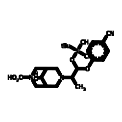 CC(C(Oc1ccc(C#N)cc1)O[Si](C)(C)C(C)(C)C)N1CC2CN(C(=O)O)CC(C1)C2O